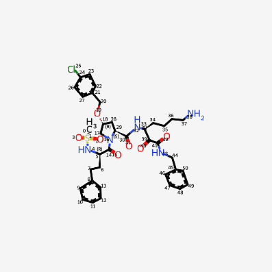 CS(=O)(=O)N[C@H](CCc1ccccc1)C(=O)N1C[C@H](OCc2ccc(Cl)cc2)C[C@H]1C(=O)N[C@@H](CCCCN)C(=O)C(=O)NCc1ccccc1